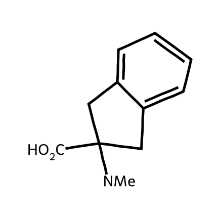 CNC1(C(=O)O)Cc2ccccc2C1